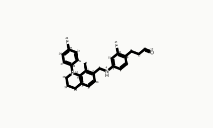 Cc1c(CNc2ccc(CCC=O)c(F)c2)ccc2c1N(c1ccc(F)cc1)CCC2